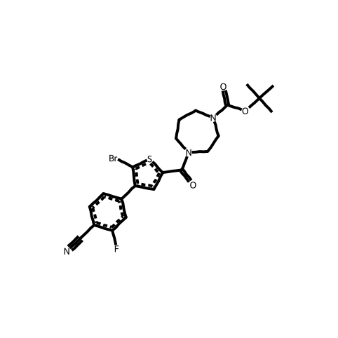 CC(C)(C)OC(=O)N1CCCN(C(=O)c2cc(-c3ccc(C#N)c(F)c3)c(Br)s2)CC1